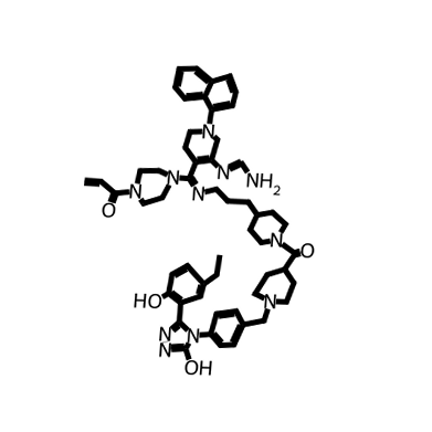 C=CC(=O)N1CCN(/C(=N/CCCC2CCN(C(=O)C3CCN(Cc4ccc(-n5c(O)nnc5-c5cc(CC)ccc5O)cc4)CC3)CC2)C2=C(/N=C/N)CN(c3cccc4ccccc34)CC2)CC1